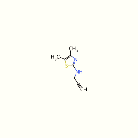 C#CCNc1nc(C)c(C)s1